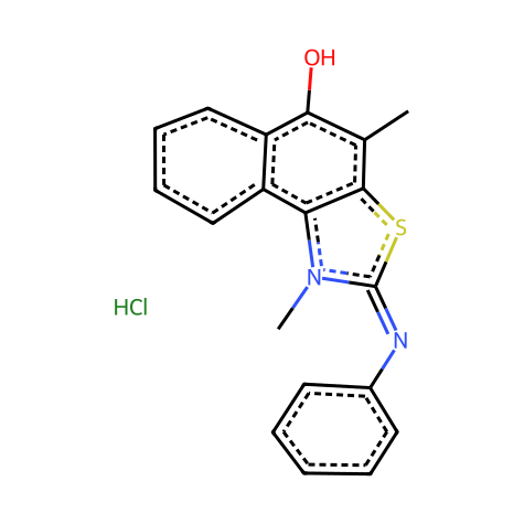 Cc1c(O)c2ccccc2c2c1sc(=Nc1ccccc1)n2C.Cl